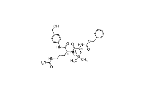 C[Si](C)(C)C[C@H](NC(=O)OCc1ccccc1)C(=O)N[C@@H](CCCNC(N)=O)C(=O)Nc1ccc(CO)cc1